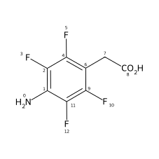 Nc1c(F)c(F)c(CC(=O)O)c(F)c1F